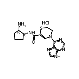 Cl.N[C@@H]1CCC[C@H]1NC(=O)C1=CN(c2ncnc3[nH]cnc23)CCS1